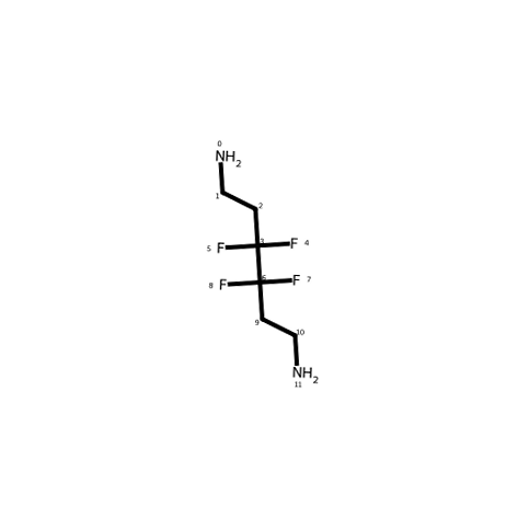 NCCC(F)(F)C(F)(F)CCN